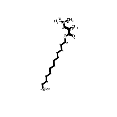 CCCCCCCCCCCCCCCCCCCCCCOC(=O)C(C)=CN(C)C